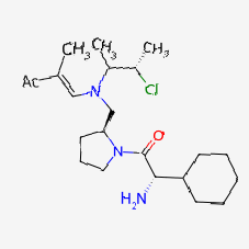 CC(=O)/C(C)=C/N(C[C@@H]1CCCN1C(=O)[C@@H](N)C1CCCCC1)C(C)[C@H](C)Cl